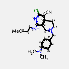 COCCNc1nc(Cl)c(C#N)c2c1CN(Cc1ccc(N(C)C)cc1)CC2